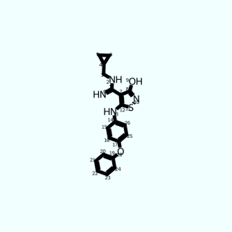 N=C(NCC1CC1)c1c(O)nsc1Nc1ccc(Oc2ccccc2)cc1